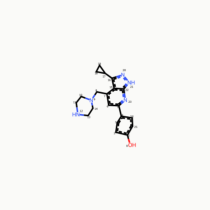 Oc1ccc(-c2cc(CN3CCNCC3)c3c(C4CC4)n[nH]c3n2)cc1